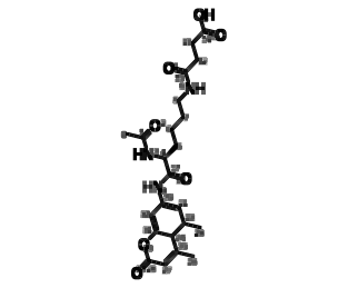 CC(=O)N[C@@H](CCCCNC(=O)CCC(=O)O)C(=O)NC1=CC(C)C2C(C)=CC(=O)OC2=C1